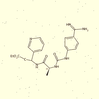 CCOC(=O)CC(NC(=O)[C@H](C)NC(=O)Nc1ccc(C(=N)N)cc1)c1cccnc1